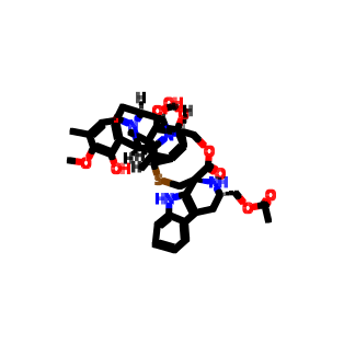 COc1c(C)cc2c(c1O)[C@@H]1[C@@H]3[C@@H]4SC[C@]5(N[C@H](COC(C)=O)Cc6c5[nH]c5ccccc65)C(=O)OC[C@@H](c5c6c(c(C)c(C)c54)OCO6)N3[C@@H](O)[C@H](C2)N1C